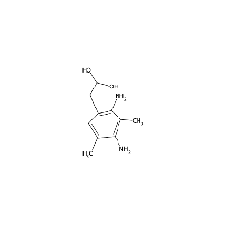 Cc1cc(CC(O)O)c(N)c(C)c1N